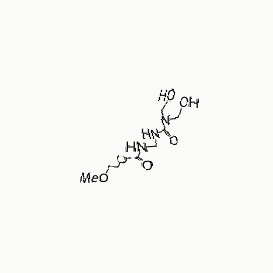 COCCOC(=O)NCNC(=O)N(CO)CO